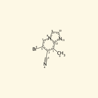 Cc1c(C#N)c(Br)cn2ccnc12